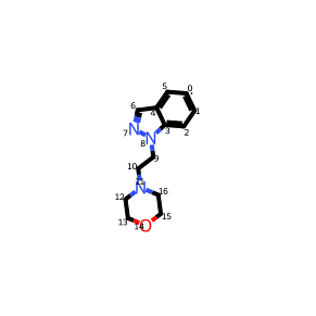 [c]1ccc2c(c1)cnn2CCN1CCOCC1